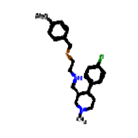 COc1ccc(CSCCNC[C@@H]2CN(C)CCC2c2ccc(Cl)cc2)cc1